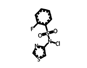 O=S(=O)(c1ccccc1F)N(Cl)c1cscn1